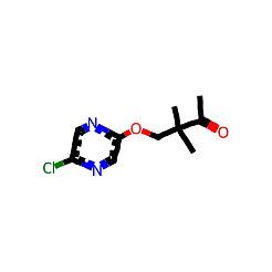 CC(=O)C(C)(C)COc1cnc(Cl)cn1